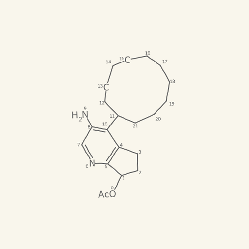 CC(=O)OC1CCc2c1ncc(N)c2C1CCCCCCCCCC1